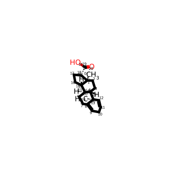 C[C@]12CC[C@H]3[C@@H](CCC4=CCC=C[C@@]43C)[C@@H]1CC[C@@H]2C(=O)O